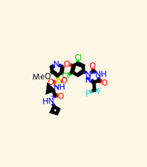 COc1cnc(Oc2c(Cl)cc(-n3nc(C(F)F)c(=O)[nH]c3=O)cc2Cl)cc1S(=O)(=O)NC1(C(=O)NC2CCC2)CC1